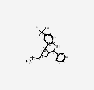 CNCC1CC2C(c3ccccc3)Nc3ccc(C(F)(F)F)cc3C2O1